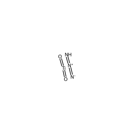 [N-]=[N+]=N.[O]=[Ti]=[O]